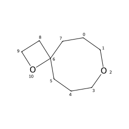 C1COCCCC2(C1)CCO2